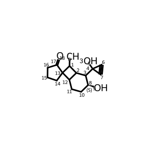 CC1C2C(C3(O)C#C3)[C@@H](O)CCC2C12CCCC2=O